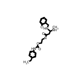 CCc1ccc(NC(=O)OCC[N]C(=O)CC(NC)NCc2ccccc2Cl)cc1